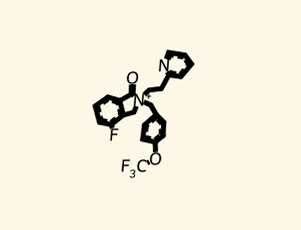 O=C1c2cccc(F)c2C[N+]1(CCc1ccccn1)Cc1ccc(OC(F)(F)F)cc1